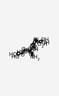 CC(C)(O/N=C(\C(=O)N[C@@H]1C(=O)N2C(C(=O)O)=C(Cn3nnc(-c4ccc(O)c(O)c4)n3)CS[C@H]12)c1csc(N)n1)C(=O)NNC(=O)c1ccc(O)c(O)c1